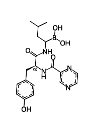 CC(C)CC(NC(=O)[C@H](Cc1ccc(O)cc1)NC(=O)c1cnccn1)B(O)O